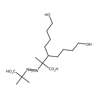 CC(C)(/N=N/C(C)(C(=O)O)C(CCCCO)CCCCO)C(=O)O